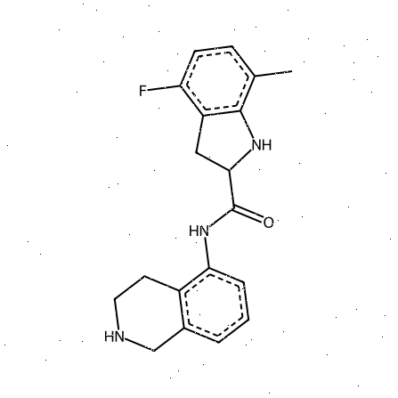 Cc1ccc(F)c2c1NC(C(=O)Nc1cccc3c1CCNC3)C2